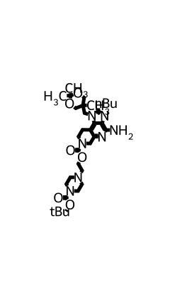 CCCCc1nc2c(N)nc3c(c2n1CC1(C)COC(C)(C)OC1)CCN(C(=O)OCCN1CCN(C(=O)OC(C)(C)C)CC1)C3